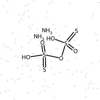 N.N.O=S(O)(=S)OS(=O)(O)=S